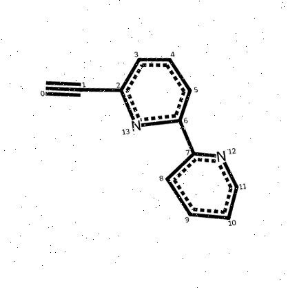 C#Cc1cccc(-c2ccccn2)n1